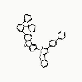 c1ccc(-c2ccc(-c3nc(-c4ccc5oc6cc(-c7cccc8c7C7(CCCCC7)c7ccccc7-8)ccc6c5c4)c4sc5ccccc5c4n3)cc2)cc1